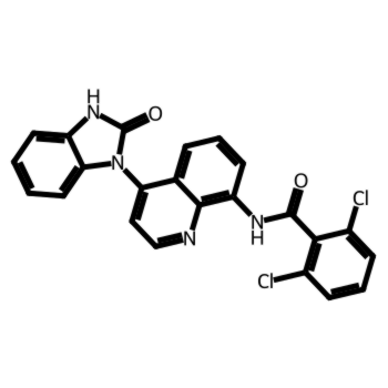 O=C(Nc1cccc2c(-n3c(=O)[nH]c4ccccc43)ccnc12)c1c(Cl)cccc1Cl